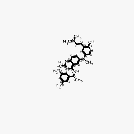 Cc1nc(N[C@H](C)c2cc(N)cc(C(F)(F)F)c2)c2cc(N(C)c3cnc(O)c(CCN(C)C)c3)ccc2n1